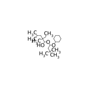 CCC(C)(CC(C)C)C(O)OC(CC(C)(C)C)OC1CCCCC1